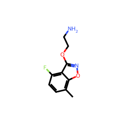 Cc1ccc(F)c2c(OCCN)noc12